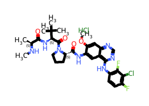 CN[C@@H](C)C(=O)N[C@H](C(=O)N1CCC[C@H]1C(=O)Nc1cc2c(Nc3ccc(F)c(Cl)c3F)ncnc2cc1OC)C(C)(C)C.Cl